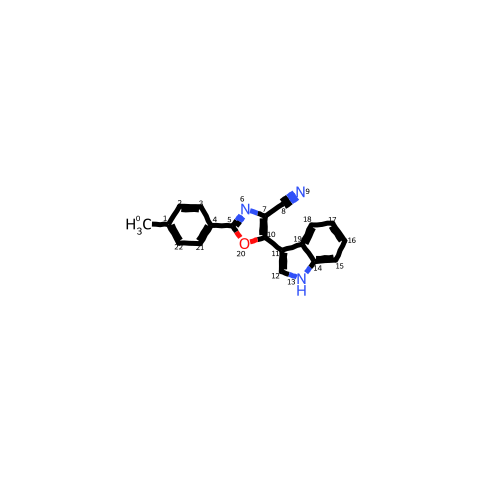 Cc1ccc(-c2nc(C#N)c(-c3c[nH]c4ccccc34)o2)cc1